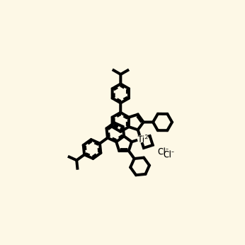 CC(C)c1ccc(-c2cccc3c2C=C(C2CCCCC2)[CH]3[Ti+2]2([CH]3C(C4CCCCC4)=Cc4c(-c5ccc(C(C)C)cc5)cccc43)[CH2]C[CH2]2)cc1.[Cl-].[Cl-]